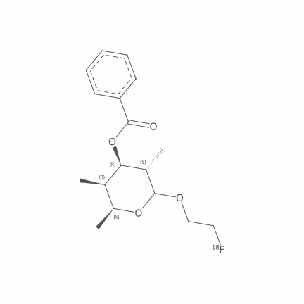 C[C@H]1[C@@H](OC(=O)c2ccccc2)[C@H](C)C(OCC[18F])O[C@H]1C